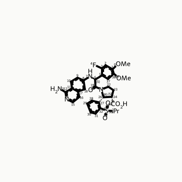 COc1cc(F)c([C@H](Nc2ccc3c(N)nccc3c2)C(=O)N2CC[C@H](C(=O)O)[C@@H]2c2ccccc2S(=O)(=O)C(C)C)cc1OC